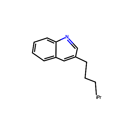 CC(C)CCCc1cnc2ccccc2c1